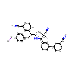 C[C@H](NC(c1cccc(-c2cccc(C#N)c2)c1)C(C)(C)C#N)[C@@H](Cc1ccc(CI)cc1)c1cccc(C#N)c1